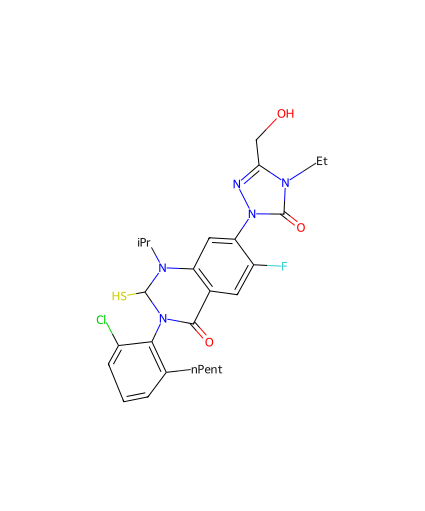 CCCCCc1cccc(Cl)c1N1C(=O)c2cc(F)c(-n3nc(CO)n(CC)c3=O)cc2N(C(C)C)C1S